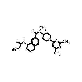 Cc1cc(N2CCC(N(C)C(=O)c3ccc4c(c3)[C@H](NC(=O)CC(C)C)CCC4)CC2)nc(C)n1